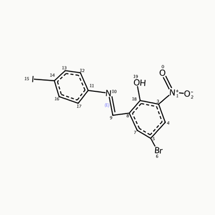 O=[N+]([O-])c1cc(Br)cc(/C=N/c2ccc(I)cc2)c1O